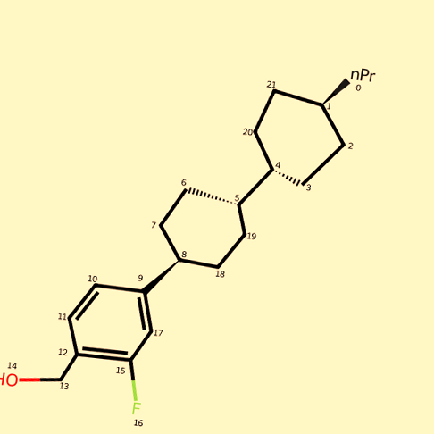 CCC[C@H]1CC[C@H]([C@H]2CC[C@H](c3ccc(CO)c(F)c3)CC2)CC1